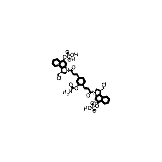 NC(=O)Oc1cc(/C=C/C(=O)N2C[C@@H](CCl)c3c2cc(OP(=O)(O)O)c2ccccc32)ccc1/C=C/C(=O)N1C[C@@H](CCl)c2c1cc(OP(=O)(O)O)c1ccccc21